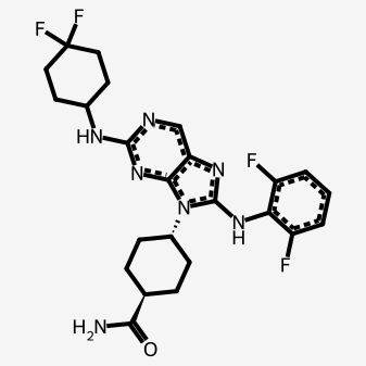 NC(=O)[C@H]1CC[C@H](n2c(Nc3c(F)cccc3F)nc3cnc(NC4CCC(F)(F)CC4)nc32)CC1